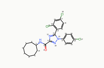 O=C(NC1CCCCCCC1)c1nc(-c2ccc(Cl)cc2Cl)n(-c2ccc(Cl)cc2)n1